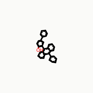 Oc1ccc(-c2ccccc2)cc1-c1c2ccccc2c(-c2ccccc2)c2ccccc12